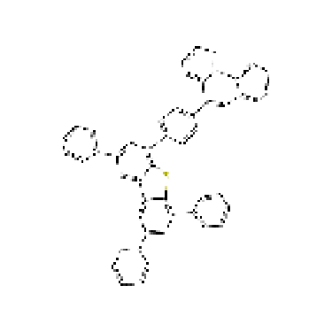 c1ccc(-c2cc(-c3ccccc3)c3sc4c(-c5ccc(-c6cc7ccccc7c7ccccc67)cc5)cc(-c5ccccc5)cc4c3c2)cc1